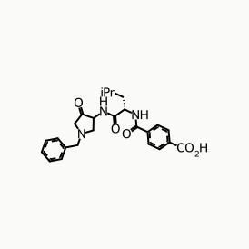 CC(C)C[C@H](NC(=O)c1ccc(C(=O)O)cc1)C(=O)NC1CN(Cc2ccccc2)CC1=O